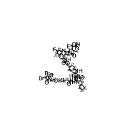 CC[C@@]1(O)C(=O)OCc2c1cc1n(c2=O)Cc2c-1nc1cc(F)c(C)c3c1c2C(NC(=O)OCc1ccc(NC(=O)CNC(=O)[C@H](Cc2ccccc2)NC(=O)CNC(=O)CCOCCOCCN2C(=O)C(Br)=C(Br)C2=O)cc1)CC3